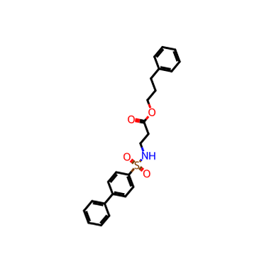 O=C(CCNS(=O)(=O)c1ccc(-c2ccccc2)cc1)OCCCc1ccccc1